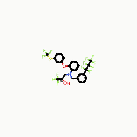 O[C@H](CN(Cc1cccc(C(F)(F)C(F)(F)C(F)(F)F)c1)c1ccccc1Oc1cccc(SC(F)(F)F)c1)C(F)(F)F